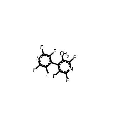 Cc1c(F)nc(F)c(F)c1-c1c(F)c(F)nc(F)c1F